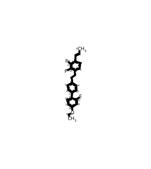 C/C=C/c1ccc(CCc2ccc(-c3ccc(OCC)cc3F)cc2)c(F)c1F